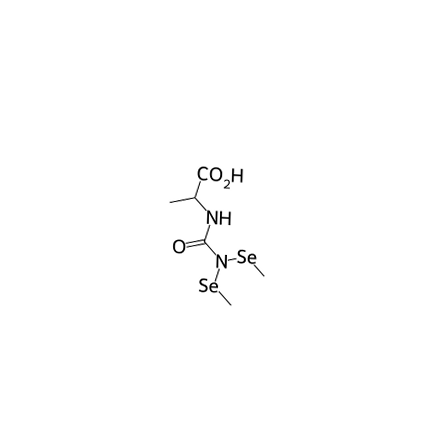 C[Se]N([Se]C)C(=O)NC(C)C(=O)O